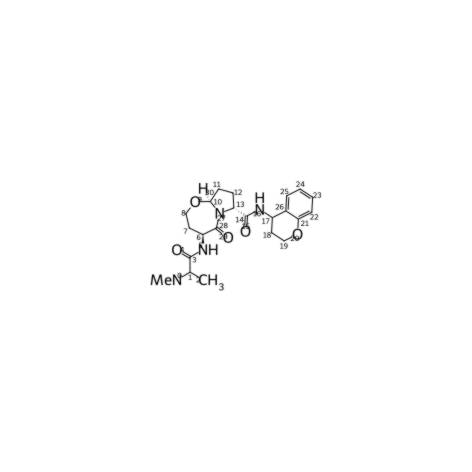 CNC(C)C(=O)N[C@H]1CCO[C@H]2CC[C@H](C(=O)NC3CCOc4ccccc43)N2C1=O